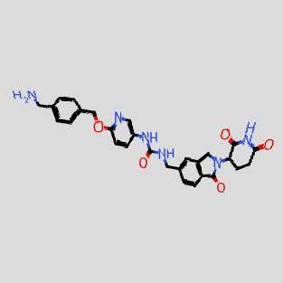 NCc1ccc(COc2ccc(NC(=O)NCc3ccc4c(c3)CN(C3CCC(=O)NC3=O)C4=O)cn2)cc1